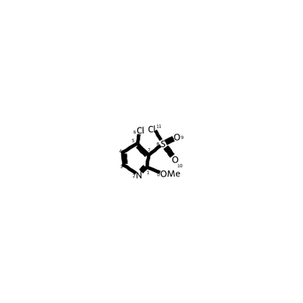 COc1nccc(Cl)c1S(=O)(=O)Cl